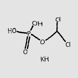 O=P(O)(O)OC(Cl)Cl.[KH]